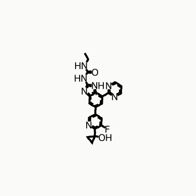 CCNC(=O)Nc1nc2cc(-c3cnc(C4(O)CC4)c(F)c3)cc(-c3ncccn3)c2[nH]1